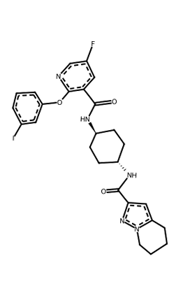 O=C(N[C@H]1CC[C@H](NC(=O)c2cc(F)cnc2Oc2cccc(I)c2)CC1)c1cc2n(n1)CCCC2